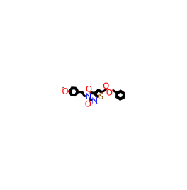 COc1ccc(CCn2c(=O)c3cc(C(=O)OCc4ccccc4)sc3n(C)c2=O)cc1